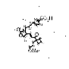 COCCCC1(C(O)C=C[C@H]2[C@H](C)OC(=O)N2CCSc2nc(C(=O)O)cs2)CCC1